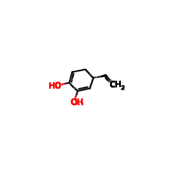 C=C[C@H]1C=C(O)C(O)=CC1